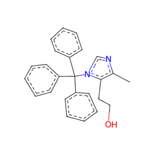 Cc1ncn(C(c2ccccc2)(c2ccccc2)c2ccccc2)c1CCO